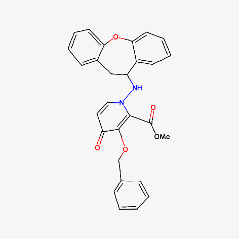 COC(=O)c1c(OCc2ccccc2)c(=O)ccn1NC1Cc2ccccc2Oc2ccccc21